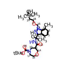 Cc1cccc2c(C(C)(C)NC(=O)C3COCCN(C(=O)OC(C)(C)C)C3)nn(COCC[Si](C)(C)C)c12